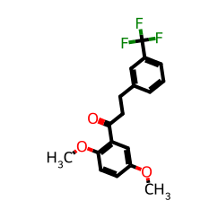 COc1ccc(OC)c(C(=O)CCc2cccc(C(F)(F)F)c2)c1